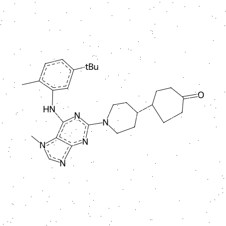 Cc1ccc(C(C)(C)C)cc1Nc1nc(N2CCC(C3CCC(=O)CC3)CC2)nc2ncn(C)c12